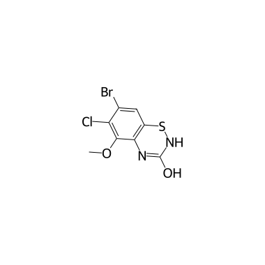 COc1c(Cl)c(Br)cc2c1N=C(O)NS2